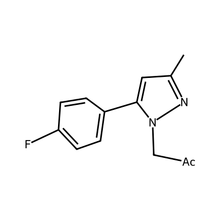 CC(=O)Cn1nc(C)cc1-c1ccc(F)cc1